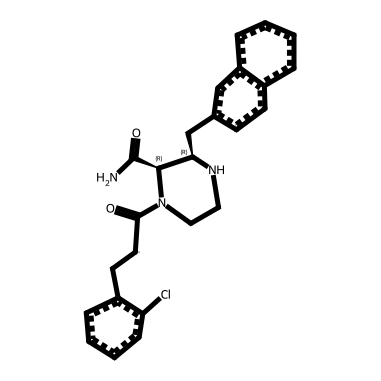 NC(=O)[C@H]1[C@@H](Cc2ccc3ccccc3c2)NCCN1C(=O)[CH]Cc1ccccc1Cl